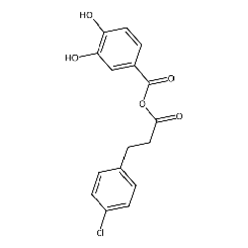 O=C(CCc1ccc(Cl)cc1)OC(=O)c1ccc(O)c(O)c1